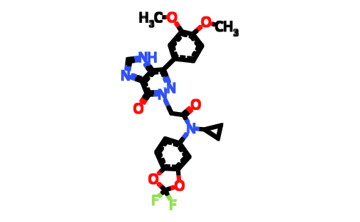 COc1ccc(-c2nn(CC(=O)N(c3ccc4c(c3)OC(F)(F)O4)C3CC3)c(=O)c3nc[nH]c23)cc1OC